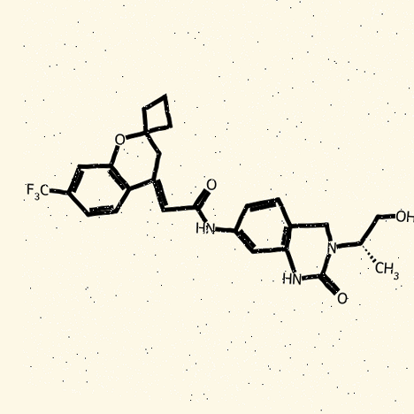 C[C@@H](CO)N1Cc2ccc(NC(=O)/C=C3\CC4(CCC4)Oc4cc(C(F)(F)F)ccc43)cc2NC1=O